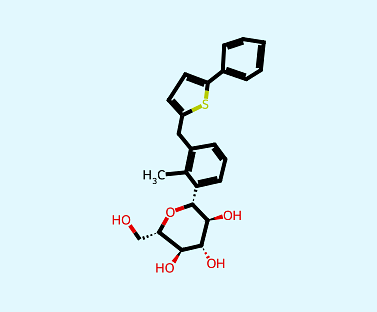 Cc1c(Cc2ccc(-c3ccccc3)s2)cccc1[C@H]1O[C@@H](CO)[C@H](O)[C@@H](O)[C@@H]1O